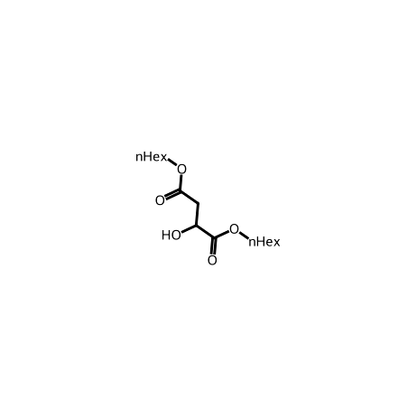 CCCCCCOC(=O)CC(O)C(=O)OCCCCCC